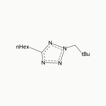 CCCCCCc1nnn(CC(C)(C)C)n1